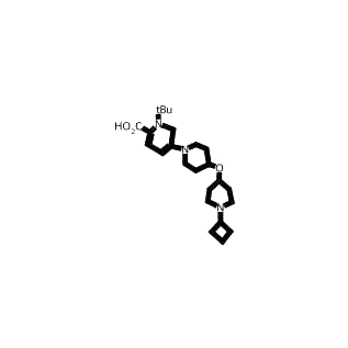 CC(C)(C)N1CC(N2CCC(OC3CCN(C4CCC4)CC3)CC2)=CC=C1C(=O)O